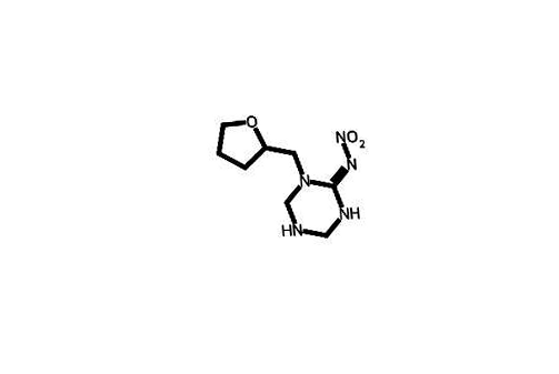 O=[N+]([O-])/N=C1/NCNCN1CC1CCCO1